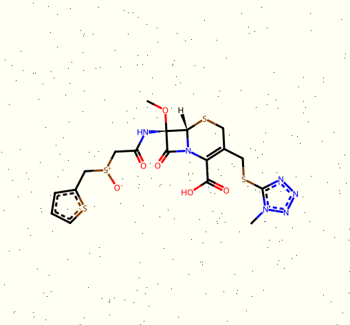 CO[C@@]1(NC(=O)C[S+]([O-])Cc2cccs2)C(=O)N2C(C(=O)O)=C(CSc3nnnn3C)CS[C@H]21